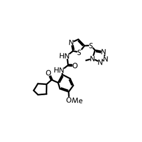 COc1ccc(NC(=O)Nc2ncc(Sc3nnnn3C)s2)c(C(=O)C2CCCC2)c1